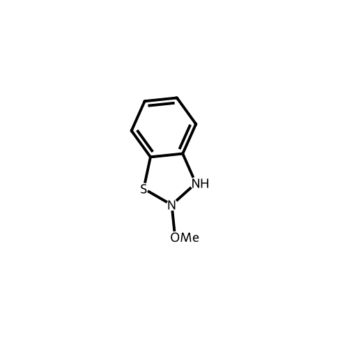 CON1Nc2ccccc2S1